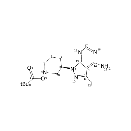 CC(C)(C)C(=O)ON1CCC[C@@H](n2nc(I)c3c(N)ncnc32)C1